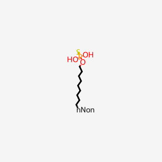 CCCCCCCCCCCCCCCCCCOP(O)(O)=S